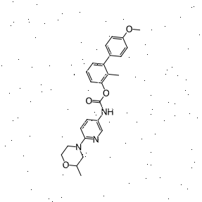 COc1ccc(-c2cccc(OC(=O)Nc3ccc(N4CCOC(C)C4)nc3)c2C)cc1